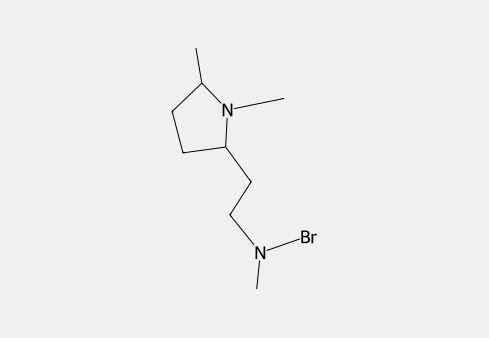 CC1CCC(CCN(C)Br)N1C